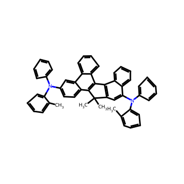 Cc1ccccc1N(c1ccccc1)c1ccc2c3c(c4ccccc4c2c1)-c1c(cc(N(c2ccccc2)c2ccccc2C)c2ccccc12)C3(C)C